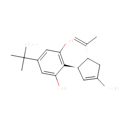 C=C(C)[C@@H]1CC(C(=O)O)=C[C@H]1c1c(O)cc(C(C)(C)CCCCCC)cc1O